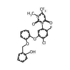 Cn1c(C(F)(F)F)cc(=O)n(-c2cc(Oc3ccccc3OCc3ccccc3O)c(Cl)cc2F)c1=O